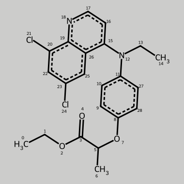 CCOC(=O)C(C)Oc1ccc(N(CC)c2ccnc3c(Cl)cc(Cl)cc23)cc1